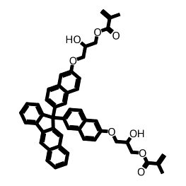 C=C(C)C(=O)OCC(O)COc1ccc2cc(C3(c4ccc5cc(OCC(O)COC(=O)C(=C)C)ccc5c4)c4ccccc4-c4cc5ccccc5cc43)ccc2c1